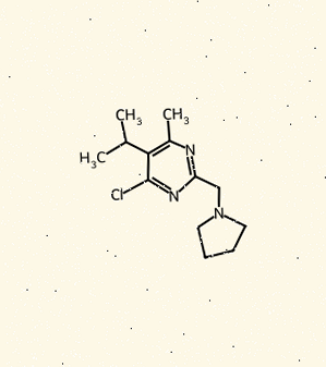 Cc1nc(CN2CCCC2)nc(Cl)c1C(C)C